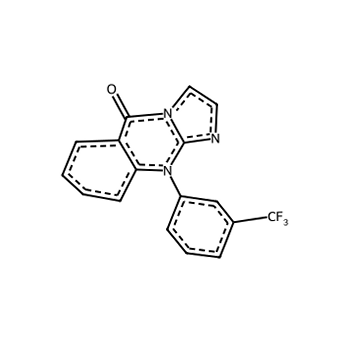 O=c1c2ccccc2n(-c2cccc(C(F)(F)F)c2)c2nccn12